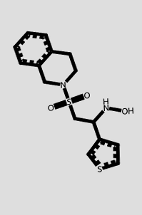 O=S(=O)(CC(NO)c1ccsc1)N1CCc2ccccc2C1